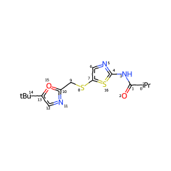 CC(C)C(=O)Nc1ncc(SCc2ncc(C(C)(C)C)o2)s1